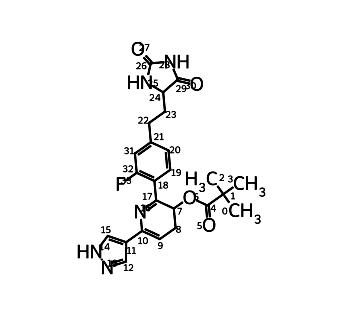 CC(C)(C)C(=O)OC1CC=C(c2cn[nH]c2)N=C1c1ccc(CCC2NC(=O)NC2=O)cc1F